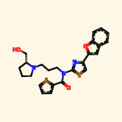 O=C(c1cccs1)N(CCCN1CCCC1CO)c1nc(-c2cc3ccccc3o2)cs1